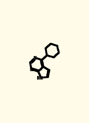 c1nc(C2CCCCC2)c2cc[nH]c2n1